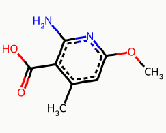 COc1cc(C)c(C(=O)O)c(N)n1